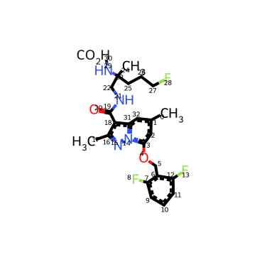 Cc1cc(OCc2c(F)cccc2F)n2nc(C)c(C(=O)NCC(C)(CCCF)NC(=O)O)c2c1